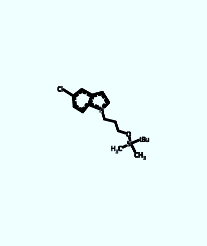 CC(C)(C)[Si](C)(C)OCCCn1ccc2cc(Cl)ccc21